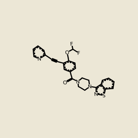 O=C(c1ccc(OC(F)F)c(C#Cc2ccccn2)c1)N1CCN(c2nsc3ccccc23)CC1